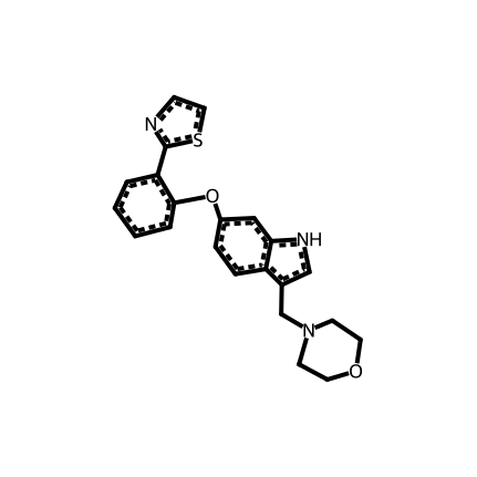 c1ccc(-c2nccs2)c(Oc2ccc3c(CN4CCOCC4)c[nH]c3c2)c1